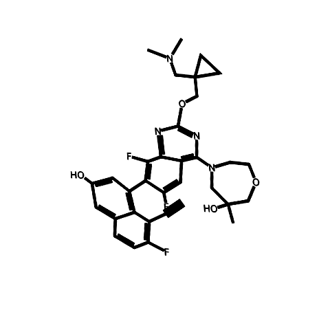 C#Cc1c(F)ccc2cc(O)cc(-c3c(F)cc4c(N5CCOCC(C)(O)C5)nc(OCC5(CN(C)C)CC5)nc4c3F)c12